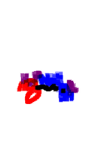 N=C(NCCCC(NP)C(=O)O)N1P=P1